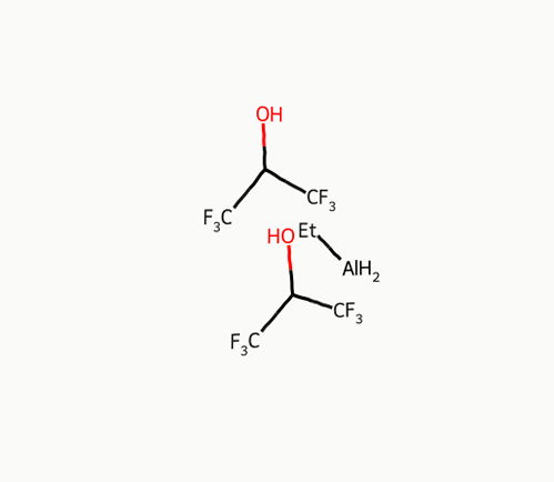 C[CH2][AlH2].OC(C(F)(F)F)C(F)(F)F.OC(C(F)(F)F)C(F)(F)F